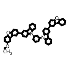 C=COc1ccc2oc3ccc(-c4ccc5c(c4)c4ccccc4n5-c4cccc(-n5c6ccccc6c6cc(-c7ccc8oc9ccccc9c8c7)ccc65)c4)cc3c2c1